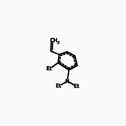 C=Cc1cccc(N(CC)CC)c1CC